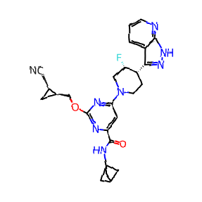 N#C[C@@H]1C[C@@H]1COc1nc(C(=O)NC23CC(C2)C3)cc(N2CC[C@@H](c3n[nH]c4ncccc34)[C@@H](F)C2)n1